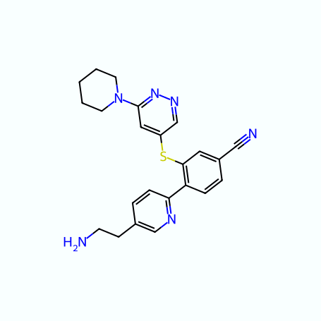 N#Cc1ccc(-c2ccc(CCN)cn2)c(Sc2cnnc(N3CCCCC3)c2)c1